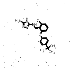 CC(C)(C)c1ccc(Oc2cccc(Cl)c2CNc2nnc(N)[nH]2)cc1